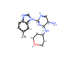 N#Cc1ccc2ncn(C3=NC(NC4CCOCC4)C(N)C=N3)c2c1